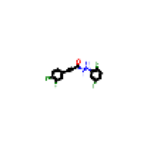 O=C(C#Cc1ccc(F)c(F)c1)NNc1cc(F)ccc1F